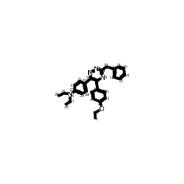 CCOc1ccc(-c2nc(Cc3ccccc3)nnc2-c2ccc(N(CC)CC)cc2)cc1